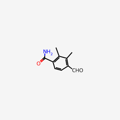 Cc1c(C=O)ccc(C(N)=O)c1C